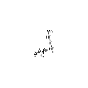 F.F.F.F.[MgH2].[Mn].[Zn]